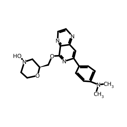 CN(C)c1ccc(-c2cc3nccnc3c(OC[C@@H]3CN(O)CCO3)n2)cc1